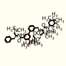 C[C@@H]1[C@@H](NC(=O)[C@@H]2[C@H]([C@H](C)O)[C@H](CO)ON2Cc2cccc(-c3cc(C(=O)N[C@@H](Cc4ccccc4)CN(C)C)cc(N(C)C)c3)c2OCCN(C)C)C[C@@H](C)C(C)(C)[C@H]1C